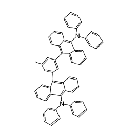 Cc1cc(-c2c3ccccc3c(N(c3ccccc3)c3ccccc3)c3ccccc23)cc(-c2c3ccccc3c(N(c3ccccc3)c3ccccc3)c3ccccc23)c1